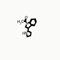 CC(=O)N1CC(C2CCCN2)c2ccccc21